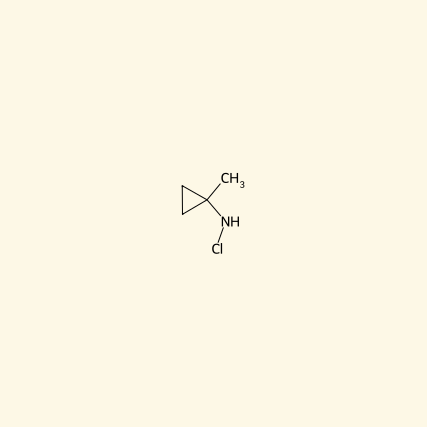 CC1(NCl)CC1